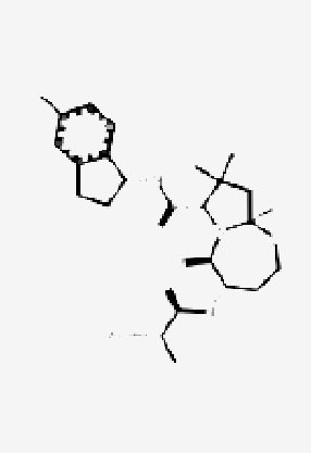 CN[C@@H](C)C(=O)N[C@H]1CCS[C@H]2CC(C)(C)[C@@H](C(=O)N[C@@H]3CCc4cc(Cl)ccc43)N2C1=O